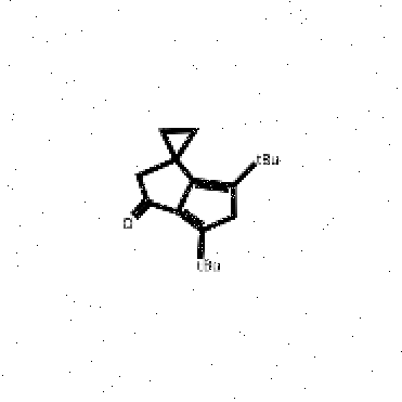 CC(C)(C)C1=C2C(=O)CC3(CC3)C2=C(C(C)(C)C)C1